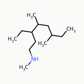 CCC(C)CC(C)C(CC)CCNC